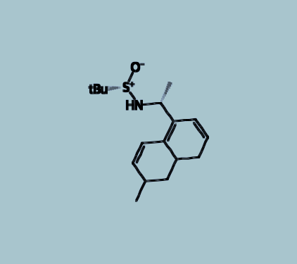 CC1C=CC2=C([C@@H](C)N[S@@+]([O-])C(C)(C)C)C=CCC2C1